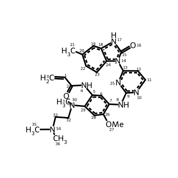 C=CC(=O)Nc1cc(Nc2nccc(-n3c(=O)[nH]c4cc(C)ccc43)n2)c(OC)cc1N(C)CCN(C)C